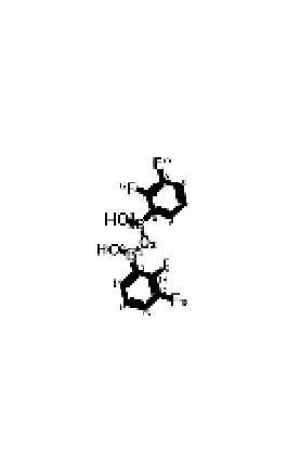 OB(OB(O)c1cccc(F)c1F)c1cccc(F)c1F